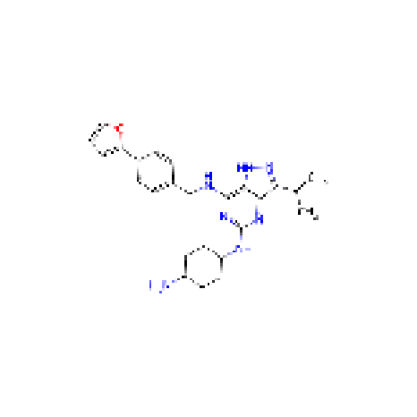 CC(C)c1n[nH]c2c(NCc3ccc(-c4ccco4)cc3)nc(NC3CCC(N)CC3)nc12